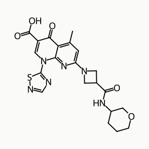 Cc1cc(N2CC(C(=O)NC3CCCOC3)C2)nc2c1c(=O)c(C(=O)O)cn2-c1ncns1